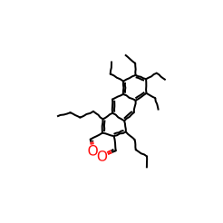 CCCCc1c(C=O)c(C=O)c(CCCC)c2cc3c(CC)c(CC)c(CC)c(CC)c3cc12